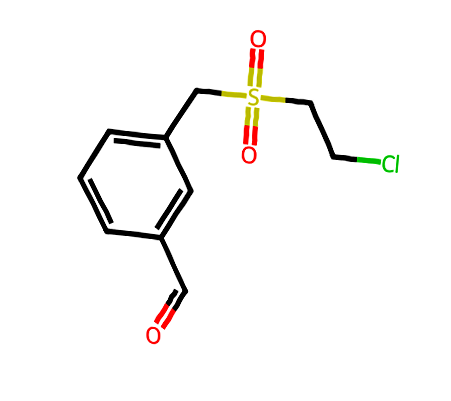 O=Cc1cccc(CS(=O)(=O)CCCl)c1